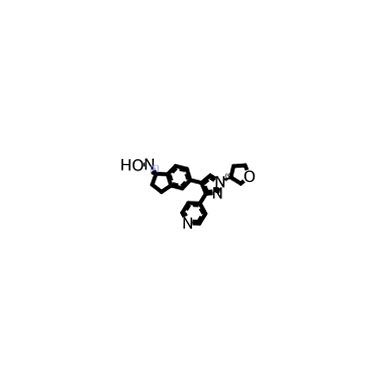 O/N=C1\CCc2cc(-c3cn([C@H]4CCOC4)nc3-c3ccncc3)ccc21